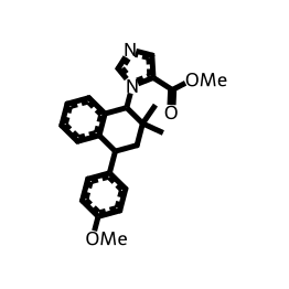 COC(=O)c1cncn1C1c2ccccc2C(c2ccc(OC)cc2)CC1(C)C